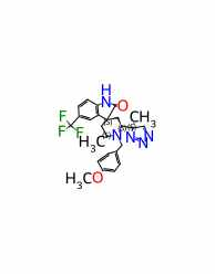 COc1ccc(CN2[C@H]([C@@]3(C)C=NN=N3)C[C@]3(C[C@@H]2C)C(=O)Nc2ccc(C(F)(F)F)cc23)cc1